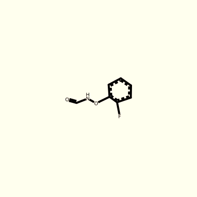 O=CNOc1ccccc1F